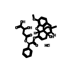 COc1ccc2c3c1O[C@H]1C(OC(=O)[C@@H](OC(=O)CC(O)C(=O)O)c4ccccc4)=CC[C@@]4(O)[C@@H](C2)N(C)CC[C@]314.Cl